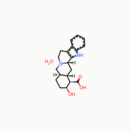 O.O=C(O)[C@@H]1[C@H]2C[C@H]3c4[nH]c5ccccc5c4CCN3C[C@@H]2CC[C@@H]1O